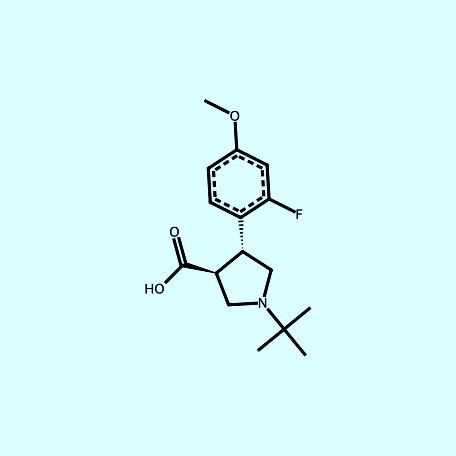 COc1ccc([C@@H]2CN(C(C)(C)C)C[C@H]2C(=O)O)c(F)c1